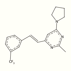 Cc1nc(C=Cc2cccc(C(F)(F)F)c2)cc(N2CCCC2)n1